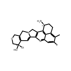 CC[C@@]1(O)COCC2=C1C=C1c3nc4cc(F)c(C)c5c4c(c3CN1C2)[C@@H](N)CC5